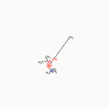 CCCCCCCCCCCCCCCCCC(=O)OC[C@H](COP(=O)([O-])OCC[N+](C)(C)C)OC(=O)C(CCC)CCC